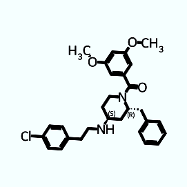 COc1cc(OC)cc(C(=O)N2CC[C@H](NCCc3ccc(Cl)cc3)C[C@H]2Cc2ccccc2)c1